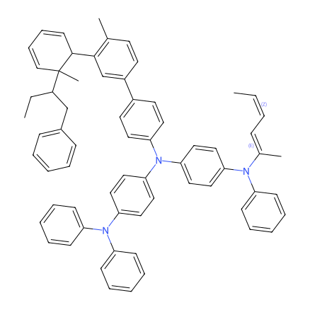 C/C=C\C=C(/C)N(c1ccccc1)c1ccc(N(c2ccc(-c3ccc(C)c(C4C=CC=CC4(C)C(CC)Cc4ccccc4)c3)cc2)c2ccc(N(c3ccccc3)c3ccccc3)cc2)cc1